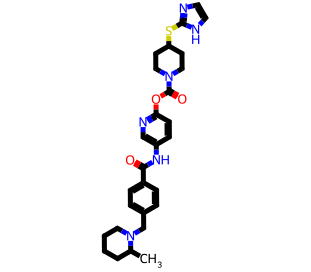 CC1CCCCN1Cc1ccc(C(=O)Nc2ccc(OC(=O)N3CCC(Sc4ncc[nH]4)CC3)nc2)cc1